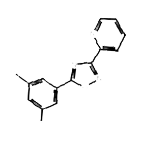 Fc1cc(Br)cc(-c2nc(-c3ccccn3)no2)c1